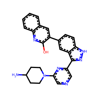 NC1CCN(c2cncc(-c3n[nH]c4ccc(-c5cc6ccccc6nc5O)cc34)n2)CC1